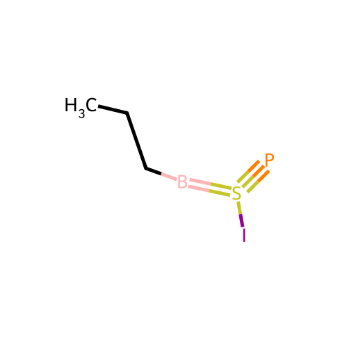 CCCB=S(#P)I